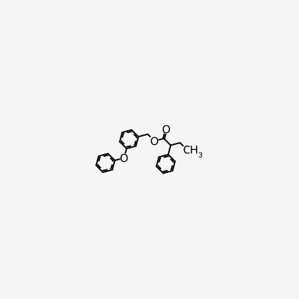 CCC(C(=O)OCc1cccc(Oc2ccccc2)c1)c1ccccc1